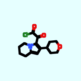 O=C(Cl)C(=O)c1c(C2CCOCC2)cc2n1CCCC2